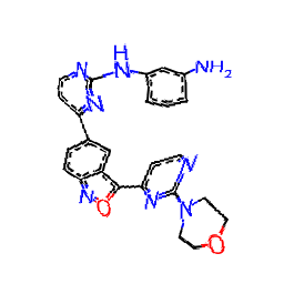 Nc1cccc(Nc2nccc(-c3ccc4noc(-c5ccnc(N6CCOCC6)n5)c4c3)n2)c1